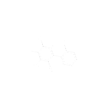 [2H]c1cccnc1-c1nc([2H])c([2H])c([2H])c1[2H]